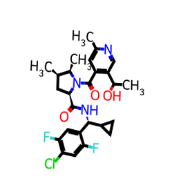 Cc1cc(C(=O)N2[C@@H](C(=O)N[C@@H](c3cc(F)c(Cl)cc3F)C3CC3)C[C@@H](C)[C@H]2C)c(C(C)O)cn1